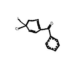 O=C(C1=CCC(Cl)(I)C=C1)c1ccccc1